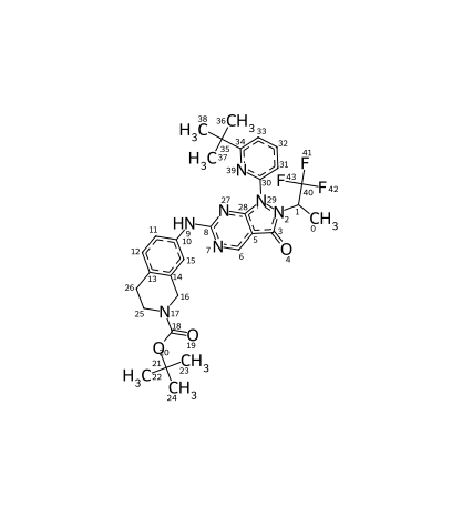 CC(n1c(=O)c2cnc(Nc3ccc4c(c3)CN(C(=O)OC(C)(C)C)CC4)nc2n1-c1cccc(C(C)(C)C)n1)C(F)(F)F